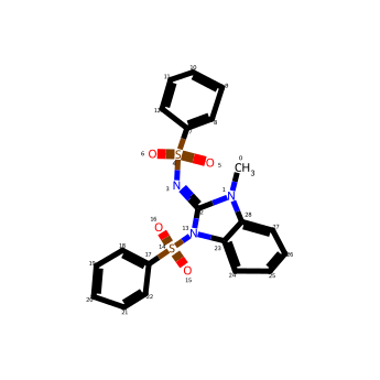 Cn1c(=NS(=O)(=O)c2ccccc2)n(S(=O)(=O)c2ccccc2)c2ccccc21